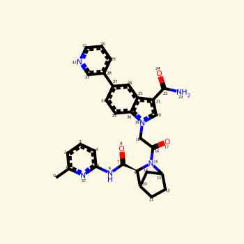 Cc1cccc(NC(=O)[C@@H]2C3CCC(C3)N2C(=O)Cn2cc(C(N)=O)c3cc(-c4cccnc4)ccc32)n1